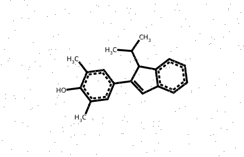 Cc1cc(C2=Cc3ccccc3C2C(C)C)cc(C)c1O